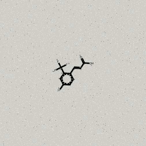 O=C(O)/C=C/c1ccc(Cl)cc1C(F)(F)F